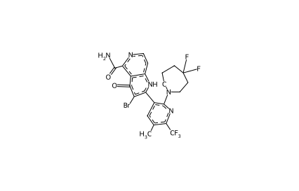 Cc1cc(-c2[nH]c3ccnc(C(N)=O)c3c(=O)c2Br)c(N2CCCC(F)(F)CC2)nc1C(F)(F)F